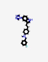 CN(Cc1cccc(F)c1)C1CCC(CCc2c[nH]c3ccc(-n4cnnc4)cc23)CC1